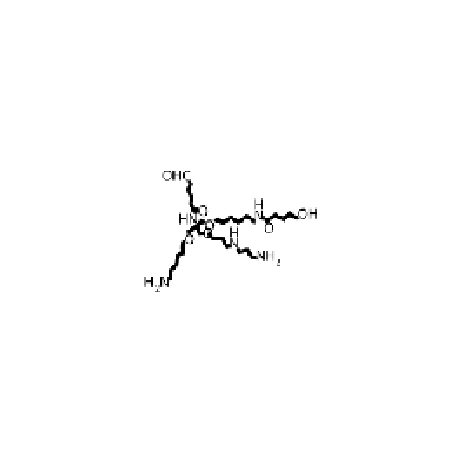 NCCCCCCOCC(COCCCCCCNC(=O)CCCCO)(COCCCNCCCN)NC(=O)CCCCC=O